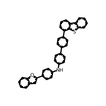 c1ccc2oc(-c3ccc(Nc4ccc(-c5ccc(-c6cccc7c6sc6ccccc67)cc5)cc4)cc3)cc2c1